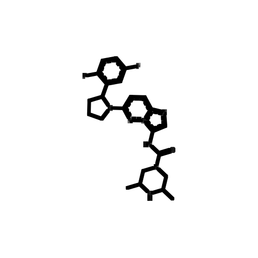 CC1CN(C(=O)Nc2cnc3ccc(N4CCCC4c4cc(F)ccc4F)nn23)CC(C)N1